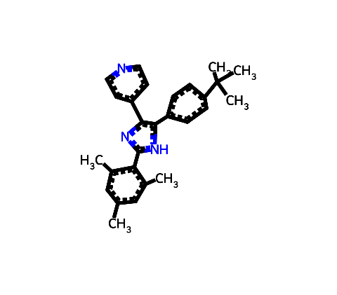 Cc1cc(C)c(-c2nc(-c3ccncc3)c(-c3ccc(C(C)(C)C)cc3)[nH]2)c(C)c1